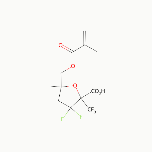 C=C(C)C(=O)OCC1(C)CC(F)(F)C(C(=O)O)(C(F)(F)F)O1